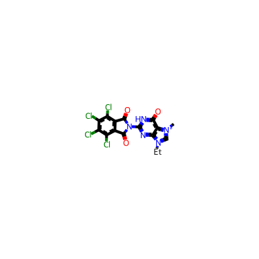 CCn1c[n+](C)c2c(=O)[nH]c(N3C(=O)c4c(Cl)c(Cl)c(Cl)c(Cl)c4C3=O)nc21